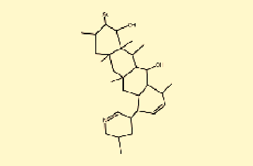 CC(=O)C1C(C)CC2(C)CC3(C)CC4C(C5C=NCC(C)C5)C=CC(C)C4C(O)C3C(C)C2(C)C1O